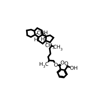 CC(CCCC(C)[C@H]1CC[C@H]2[C@@H]3CCC4CCCC[C@]4(C)[C@H]3CC[C@]12C)COC(=O)c1ccccc1C(=O)O